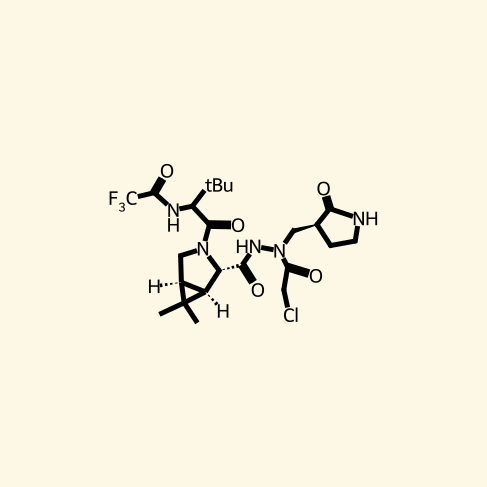 CC(C)(C)C(NC(=O)C(F)(F)F)C(=O)N1C[C@H]2[C@@H]([C@H]1C(=O)NN(C[C@@H]1CCNC1=O)C(=O)CCl)C2(C)C